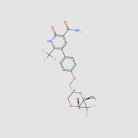 C[C@]12O[C@@H](COc3ccc(-c4cc(C(N)=O)c(=O)[nH]c4C(F)(F)F)cc3)CO[C@H]1C2(F)F